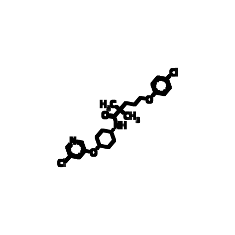 CC(C)(CCCOc1ccc(Cl)cc1)C(=O)N[C@H]1CC[C@H](Oc2cncc(Cl)c2)CC1